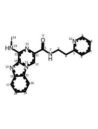 O=C(NCCc1ccccn1)c1cn2c(nc3ccccc32)c(NI)n1